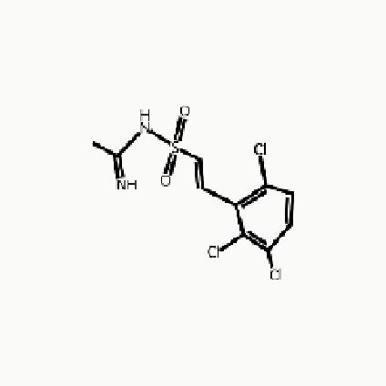 CC(=N)NS(=O)(=O)C=Cc1c(Cl)ccc(Cl)c1Cl